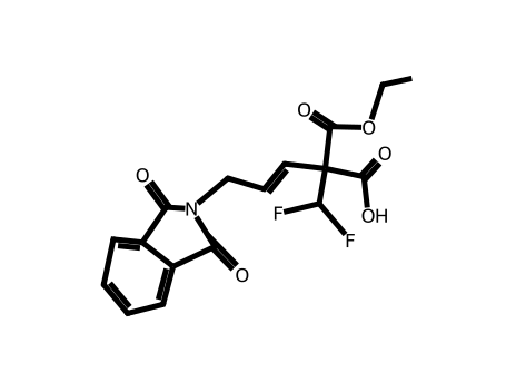 CCOC(=O)C(/C=C/CN1C(=O)c2ccccc2C1=O)(C(=O)O)C(F)F